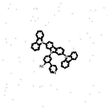 N#Cc1ccc(-n2c3cc(-n4c5ccccc5c5ccccc54)ccc3c3ccc(-n4c5ccccc5c5ccccc54)cc32)cc1-c1ccncc1